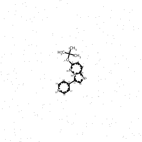 CC(C)(C)Oc1ccc2ncc(-c3ccncc3)n2n1